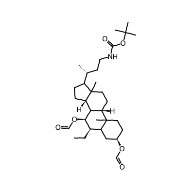 CC[C@@H]1C2C[C@H](OC=O)CCC2(C)[C@H]2CCC3(C)C([C@H](C)CCNC(=O)OC(C)(C)C)CC[C@H]3C2[C@@H]1OC=O